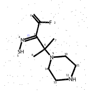 C=C(F)/C(=N/S)C(C)(C)N1CCNCC1